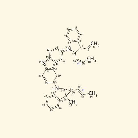 C=CC1c2ccccc2N(c2ccc3sc4c(c3c2)CC(N2c3ccccc3C3(C)C2[C@@H]3/C=C/C)C=C4)C1/C=C\C